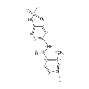 CS(=O)(=O)Nc1ccc(NC(=O)c2ccc(F)cc2C(F)(F)F)cc1